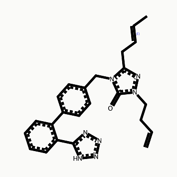 C=CCCn1nc(C/C=C/C)n(Cc2ccc(-c3ccccc3-c3nnn[nH]3)cc2)c1=O